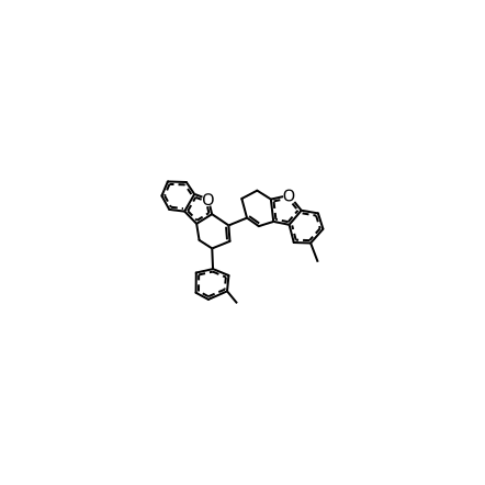 Cc1cccc(C2C=C(C3=Cc4c(oc5ccc(C)cc45)CC3)c3oc4ccccc4c3C2)c1